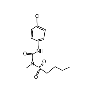 CCCCS(=O)(=O)N(C)C(=O)Nc1ccc(Cl)cc1